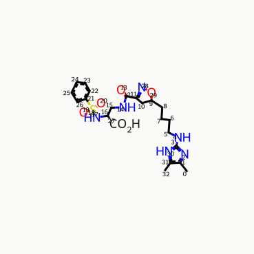 Cc1nc(NCCCCC2CC(C(=O)NCC(NS(=O)(=O)c3ccccc3)C(=O)O)=NO2)[nH]c1C